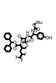 CC(C)(C)OC(=O)NC(C(=O)NC1C(=O)N2C(C(=O)OC(c3ccccc3)c3ccccc3)=C(CC(F)=C(F)F)CS[C@@H]12)c1ccc(O)cc1